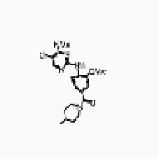 CNc1nc(Nc2ccc(C(=O)N3CCC(C)CC3)cc2OC)ncc1Cl